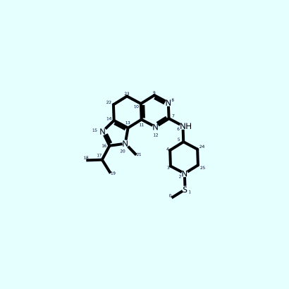 CSN1CCC(Nc2ncc3c(n2)-c2c(nc(C(C)C)n2C)CC3)CC1